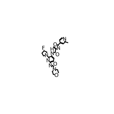 Cc1cc(-c2nc(C(=O)Nc3cc4oc(N5CCOCC5)nc4nc3N3CC[C@H](F)C3)co2)ccn1